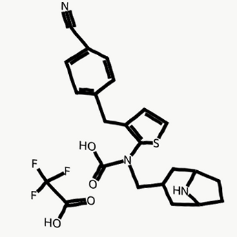 N#Cc1ccc(Cc2ccsc2N(CC2CC3CCC(C2)N3)C(=O)O)cc1.O=C(O)C(F)(F)F